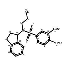 COc1ccc(S(=O)(=O)N(CCC#N)C2CCc3ccccc32)cc1OC